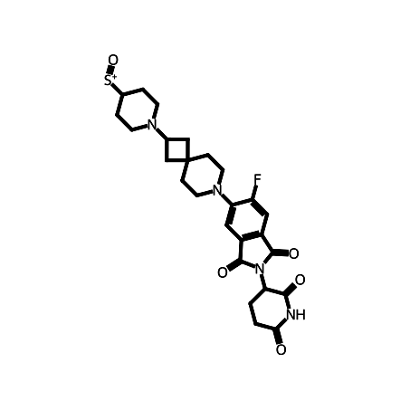 O=[S+]C1CCN(C2CC3(CCN(c4cc5c(cc4F)C(=O)N(C4CCC(=O)NC4=O)C5=O)CC3)C2)CC1